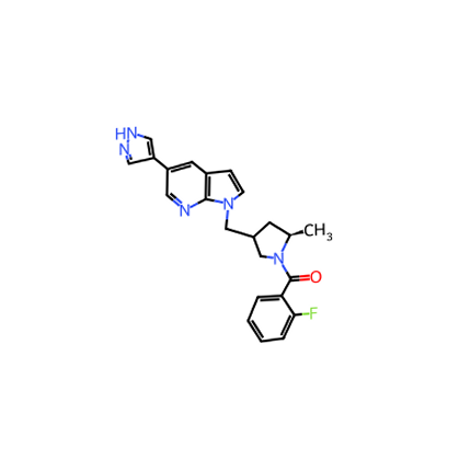 C[C@@H]1CC(Cn2ccc3cc(-c4cn[nH]c4)cnc32)CN1C(=O)c1ccccc1F